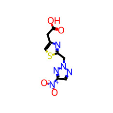 O=C(O)Cc1csc(Cn2ncc([N+](=O)[O-])n2)n1